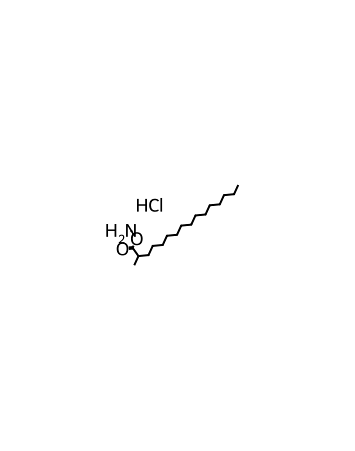 CCCCCCCCCCCCCCC(C)C(=O)ON.Cl